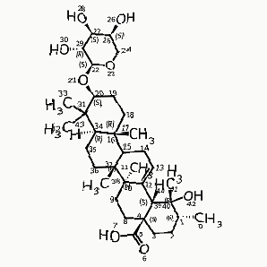 C[C@@H]1CC[C@]2(C(=O)O)CC[C@]3(C)C(=CCC4[C@@]5(C)CC[C@H](O[C@@H]6OC[C@H](O)[C@H](O)[C@H]6O)C(C)(C)[C@@H]5CC[C@]43C)[C@@H]2[C@]1(C)O